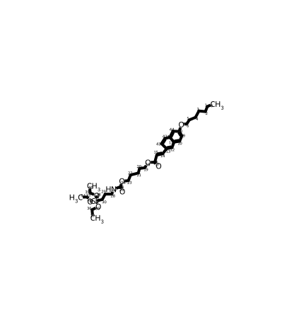 CCCCCCCOc1ccc2cc(/C=C/C(=O)OCCCCCOC(=O)NCCC[Si](OCC)(OCC)OCC)ccc2c1